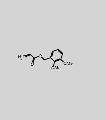 C=CC(=O)OCc1cccc(OC)c1OC